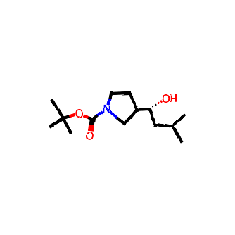 CC(C)C[C@@H](O)C1CCN(C(=O)OC(C)(C)C)C1